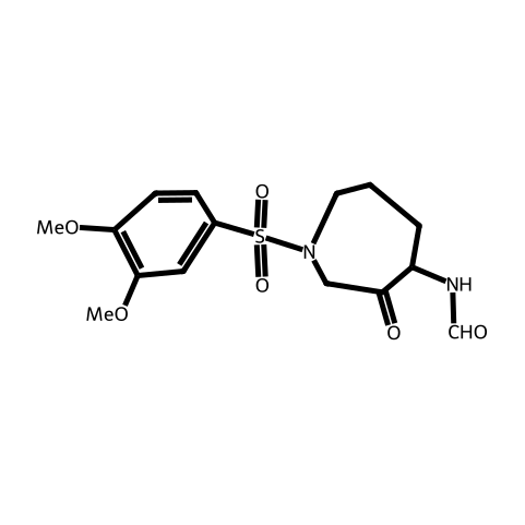 COc1ccc(S(=O)(=O)N2CCCC(NC=O)C(=O)C2)cc1OC